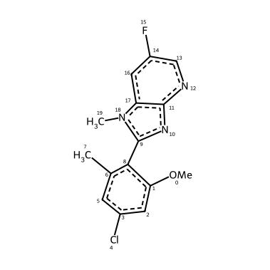 COc1cc(Cl)cc(C)c1-c1nc2ncc(F)cc2n1C